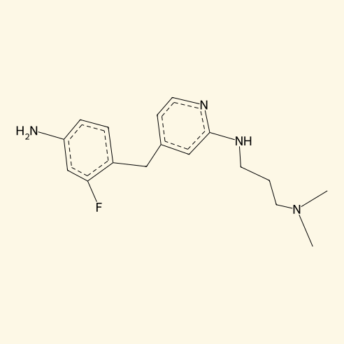 CN(C)CCCNc1cc(Cc2ccc(N)cc2F)ccn1